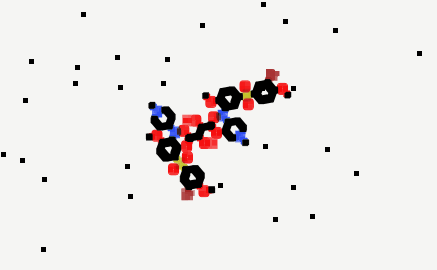 COc1ccc(S(=O)(=O)c2ccc(OC)c(N(OC(=O)C(O)C(O)C(=O)ON(c3cc(S(=O)(=O)c4ccc(OC)c(Br)c4)ccc3OC)C3CCN(C)CC3)C3CCN(C)CC3)c2)cc1Br